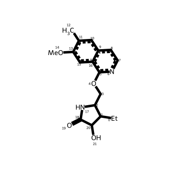 CCC1C(COc2nccc3cc(C)c(OC)cc23)NC(=O)C1O